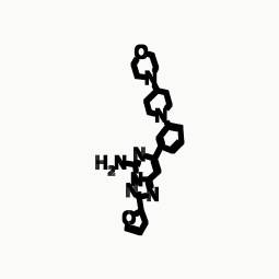 Nc1nc(-c2cccc(N3CCC(N4CCOCC4)CC3)c2)cc2nc(C3CC=CO3)nn12